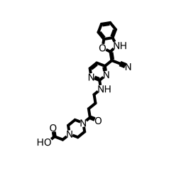 N#CC(=C1Nc2ccccc2O1)c1ccnc(NCCCC(=O)N2CCN(CC(=O)O)CC2)n1